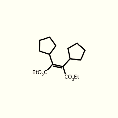 CCOC(=O)C(=C(C(=O)OCC)C1CCCC1)C1CCCC1